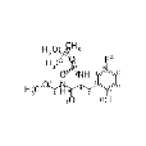 COCNC(=O)C(Cc1cc(F)ccc1Cl)NC(=O)OC(C)(C)C